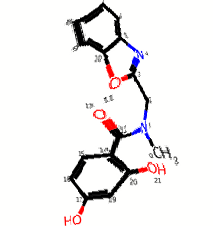 CN(Cc1nc2ccccc2o1)C(=O)c1ccc(O)cc1O